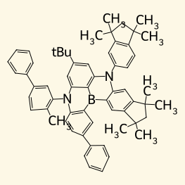 Cc1ccc(-c2ccccc2)cc1N1c2ccc(-c3ccccc3)cc2B2c3cc4c(cc3N(c3ccc5c(c3)C(C)(C)CC5(C)C)c3cc(C(C)(C)C)cc1c32)C(C)(C)CC4(C)C